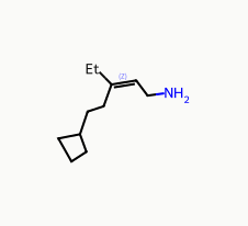 CC/C(=C/CN)CCC1CCC1